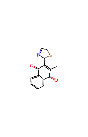 CC1=C(C2N=CCS2)C(=O)c2ccccc2C1=O